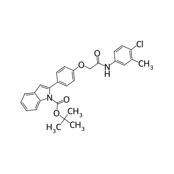 Cc1cc(NC(=O)COc2ccc(-c3cc4ccccc4n3C(=O)OC(C)(C)C)cc2)ccc1Cl